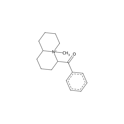 C[N+]12CCCCC1CCCC2C(=O)c1ccccc1